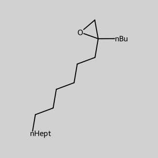 CCCCCCCCCCCCCC1(CCCC)CO1